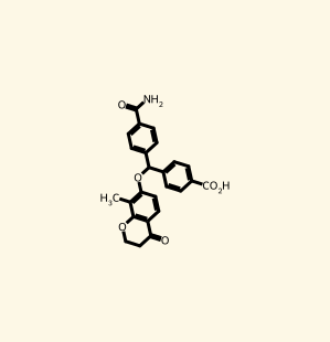 Cc1c(OC(c2ccc(C(N)=O)cc2)c2ccc(C(=O)O)cc2)ccc2c1OCCC2=O